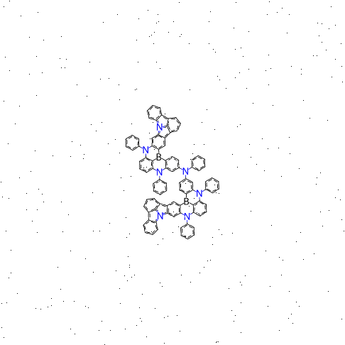 c1ccc(N(c2ccc3c(c2)N(c2ccccc2)c2cccc4c2B3c2cc3c5cccc6c7ccccc7n(c3cc2N4c2ccccc2)c65)c2ccc3c(c2)N(c2ccccc2)c2cccc4c2B3c2cc3c5cccc6c7ccccc7n(c3cc2N4c2ccccc2)c65)cc1